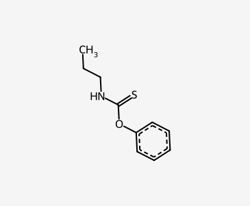 CCCNC(=S)Oc1ccccc1